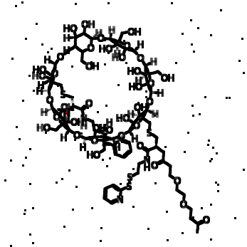 CN[C@H](CSCC1O[C@H]2O[C@@H]3C(CO)O[C@H](O[C@@H]4C(CO)O[C@H](O[C@@H]5C(CO)O[C@H](O[C@@H]6C(CSC[C@@H](CC(=O)CCOCCOCCC(C)=O)C(=O)NCCSSc7ccccn7)O[C@H](O[C@@H]7C(CO)O[C@@H](O[C@@H]8C(CO)O[C@@H](O[C@H]1[C@H](O)C2O)C(O)[C@H]8O)C(O)[C@H]7O)C(O)[C@H]6O)C(O)[C@H]5O)C(O)[C@H]4O)C(O)[C@H]3O)C(=O)NCCSSc1ccccn1